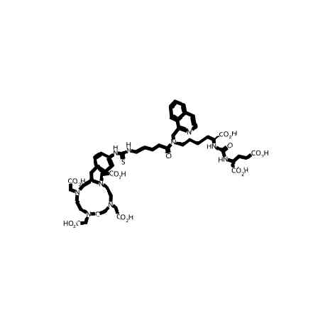 O=C(O)CCC(NC(=O)N[C@@H](CCCCN(Cc1nccc2ccccc12)C(=O)CCCCNC(=S)Nc1ccc(CC2CN(CC(=O)O)CCN(CC(=O)O)CCN(CC(=O)O)CCN2CC(=O)O)cc1)C(=O)O)C(=O)O